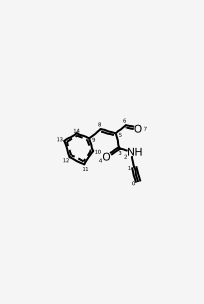 C#CNC(=O)C([C]=O)=Cc1ccccc1